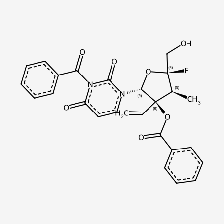 C=C[C@]1(OC(=O)c2ccccc2)[C@H](n2ccc(=O)n(C(=O)c3ccccc3)c2=O)O[C@](F)(CO)[C@H]1C